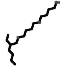 CCCCC(CC)COCCCCOCCCCO